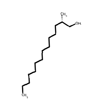 CCCCCCCCCCCC[C@H](C)CO